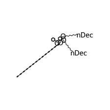 C#CC#CC#CC#CC#CC#CC#CC#CC#CC#CC#CC#CC#CC#COc1c(C(=O)c2ccccc2)ccc(OCCCCCCCCCCCCCCCCCC)c1OCCCCCCCCCCCCCCCCCC